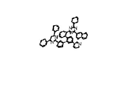 c1ccc(-c2cc(-c3ccccc3)nc(-c3cccc(-c4cc(-c5cccnc5)ccc4-c4ccccc4-c4nc(-c5ccccc5)nc(-c5ccc6ccccc6c5)n4)c3)n2)cc1